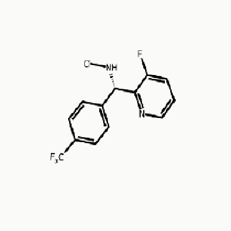 Fc1cccnc1[C@@H](NCl)c1ccc(C(F)(F)F)cc1